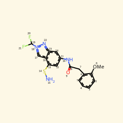 COc1ccccc1CC(=O)Nc1cc(SN)c2cn(C(F)F)nc2c1